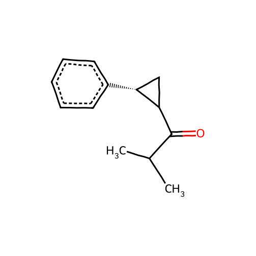 CC(C)C(=O)C1C[C@H]1c1ccccc1